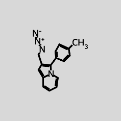 Cc1ccc(-c2c(CN=[N+]=[N-])cc3ccccn23)cc1